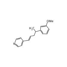 COc1cccc(C(C)CC=Cc2ccncc2)c1